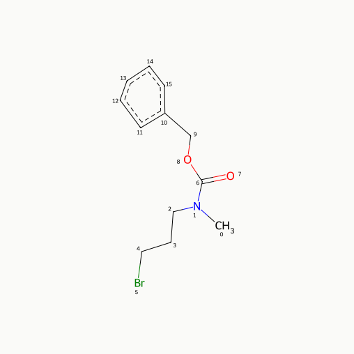 CN(CCCBr)C(=O)OCc1ccccc1